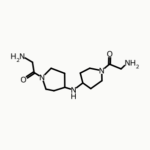 NCC(=O)N1CCC(NC2CCN(C(=O)CN)CC2)CC1